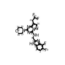 Fc1ccc2[nH]c(CNc3nc(N4CCOCC4)nc4c(CC(F)F)cnn34)nc2c1F